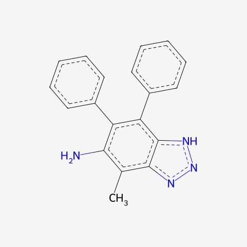 Cc1c(N)c(-c2ccccc2)c(-c2ccccc2)c2[nH]nnc12